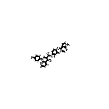 Cn1ccc2c(Oc3ccc(NC(=O)c4cn(-c5ccc(F)cc5)c5ncccc5c4=O)cc3F)ncnc21